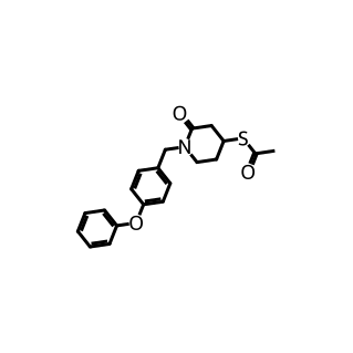 CC(=O)SC1CCN(Cc2ccc(Oc3ccccc3)cc2)C(=O)C1